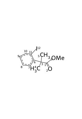 COC(=O)C(C)(C)c1ccccc1I